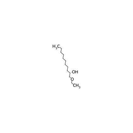 CCCCCCCCC[C@H](O)COCC